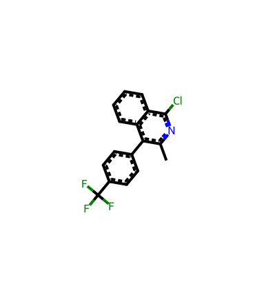 Cc1nc(Cl)c2ccccc2c1-c1ccc(C(F)(F)F)cc1